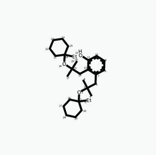 CCC1(OC(C)(C)Cc2cccc(O)c2CC(C)(C)OC2(CC)CCCCC2)CCCCC1